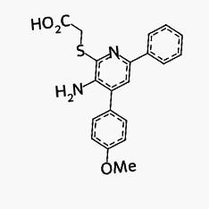 COc1ccc(-c2cc(-c3ccccc3)nc(SCC(=O)O)c2N)cc1